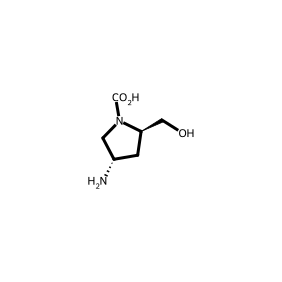 N[C@H]1C[C@H](CO)N(C(=O)O)C1